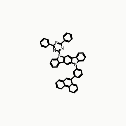 C1=CCc2c3c(c(-c4cccc(-n5c6ccccc6c6cc7c(cc65)c5ccccc5n7-c5nc(-c6ccccc6)nc(-c6ccccc6)n5)c4)cc2=C1)=CC=CC3